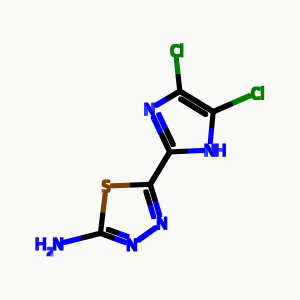 Nc1nnc(-c2nc(Cl)c(Cl)[nH]2)s1